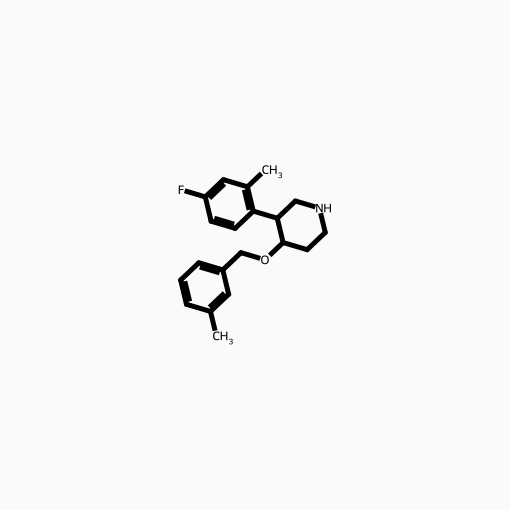 Cc1cccc(COC2CCNCC2c2ccc(F)cc2C)c1